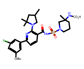 CC(C)COc1cc(F)cc(-c2ccc(C(=O)NS(=O)(=O)N3CCCC(C)(NC(=O)O)C3)c(N3CC(C)CC3(C)C)n2)c1